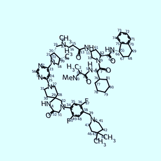 CN[C@@H](C)C(=O)N[C@H](C(=O)N1CC(NC(=O)CCN(C)C[C@H]2CN(c3cc(N4CCC5(CC4)CN(c4cc(F)c(CN6CCC(C)(C)CC6)cc4F)CC(=O)N5)ncn3)C[C@H]2C)C[C@H]1C(=O)N[C@H]1CCCc2ccccc21)C1CCCCC1